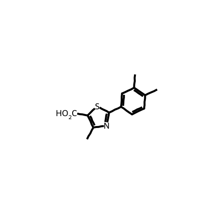 Cc1ccc(-c2nc(C)c(C(=O)O)s2)cc1C